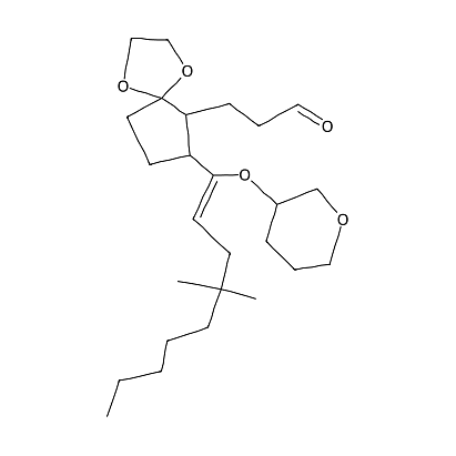 CCCCCC(C)(C)CC=C(OC1CCCOC1)C1CCC2(OCCO2)C1CCC=O